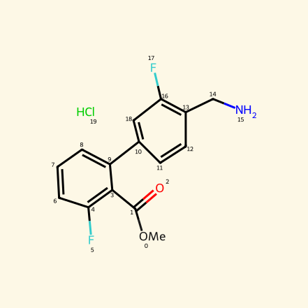 COC(=O)c1c(F)cccc1-c1ccc(CN)c(F)c1.Cl